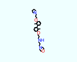 Cc1c(OCCCNCCCN2CCOCC2)cccc1-c1cccc(OCCCN2CCCC2)c1C